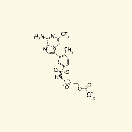 Cc1ccc(S(=O)(=O)NC23COC(COC(=O)C(F)(F)F)(C2)C3)cc1-c1cnc2c(N)nc(C(F)(F)F)cn12